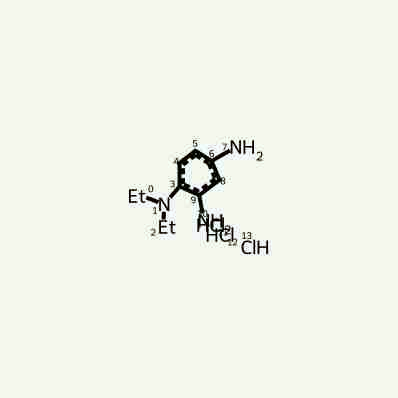 CCN(CC)c1ccc(N)cc1N.Cl.Cl.Cl